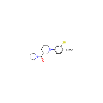 COc1ccc(N2CCCC(C(=O)N3CCCC3)C2)cc1S